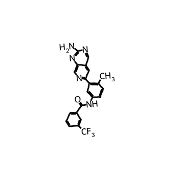 Cc1ccc(NC(=O)c2cccc(C(F)(F)F)c2)cc1-c1cc2cnc(N)nc2cn1